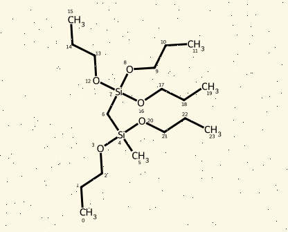 CCCO[Si](C)(C[Si](OCCC)(OCCC)OCCC)OCCC